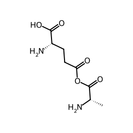 C[C@H](N)C(=O)OC(=O)CC[C@H](N)C(=O)O